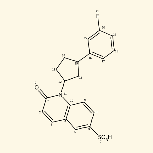 O=c1ccc2cc(S(=O)(=O)O)ccc2n1C1CCC(c2cccc(F)c2)C1